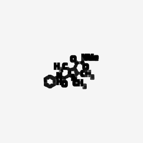 CNC(=O)C(=O)c1c(C)c(C(=O)Nc2ccccc2)n(C)c1C